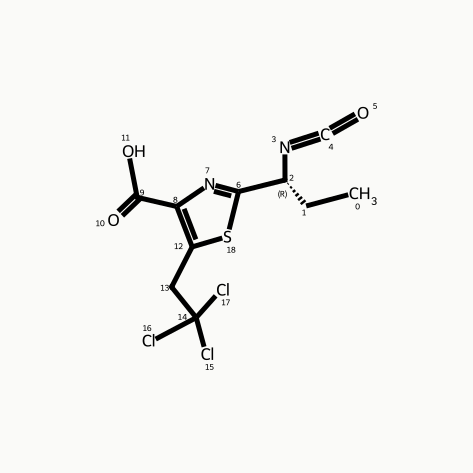 CC[C@@H](N=C=O)c1nc(C(=O)O)c(CC(Cl)(Cl)Cl)s1